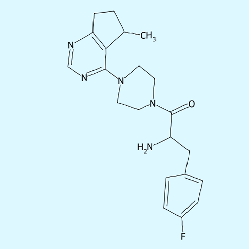 CC1CCc2ncnc(N3CCN(C(=O)C(N)Cc4ccc(F)cc4)CC3)c21